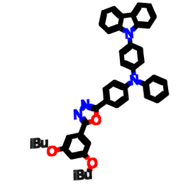 CCC(C)Oc1cc(OC(C)CC)cc(-c2nnc(-c3ccc(N(c4ccccc4)c4ccc(-n5c6ccccc6c6ccccc65)cc4)cc3)o2)c1